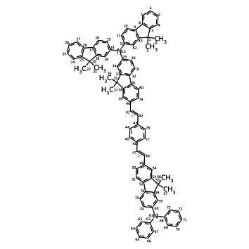 CC1(C)c2ccccc2-c2ccc(N(c3ccc4c(c3)C(C)(C)c3ccccc3-4)c3ccc4c(c3)C(C)(C)c3cc(/C=C/c5ccc(/C=C/c6ccc7c(c6)C(C)(C)c6cc(N(c8ccccc8)c8ccccc8)ccc6-7)cc5)ccc3-4)cc21